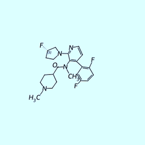 CN1CCC(C(=O)N(C)c2c(-c3cc(F)ccc3F)ccnc2N2CC[C@H](F)C2)CC1